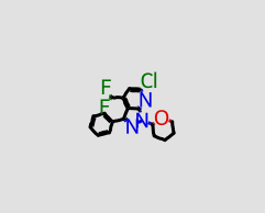 FC(F)c1cc(Cl)nc2c1c(-c1ccccc1)nn2C1CCCCO1